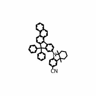 CC12CCCCC1(C)N(c1ccc3c(c1)C(c1ccccc1)(c1ccccc1)c1ccc4c(ccc5ccccc54)c1-3)c1ccc(C#N)cc12